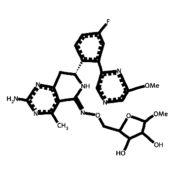 COc1cncc(-c2cc(F)ccc2[C@H]2Cc3nc(N)nc(C)c3/C(=N/OCC3OC(OC)C(O)C3O)N2)n1